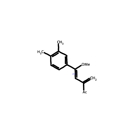 C=C(/C=C(\OC)c1ccc(C)c(C)c1)C(C)=O